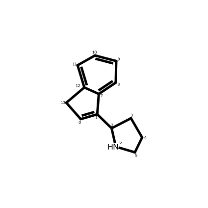 C1=C(C2CCCN2)c2ccccc2C1